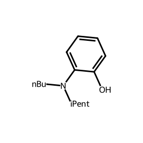 CCCCN(c1ccccc1O)C(C)CCC